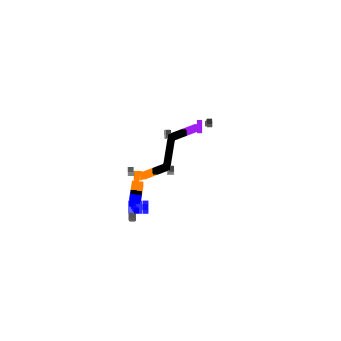 N=PCCI